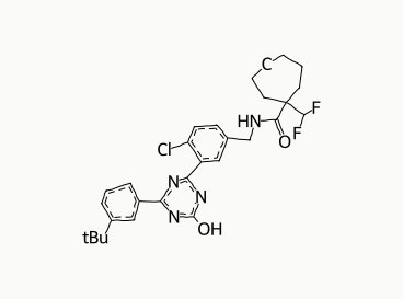 CC(C)(C)c1cccc(-c2nc(O)nc(-c3cc(CNC(=O)C4(C(F)F)CCCCCC4)ccc3Cl)n2)c1